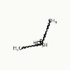 CCCCCCCCCCCCCCCCC(S)(CCCCCCCCCCCCCC)C(=O)O